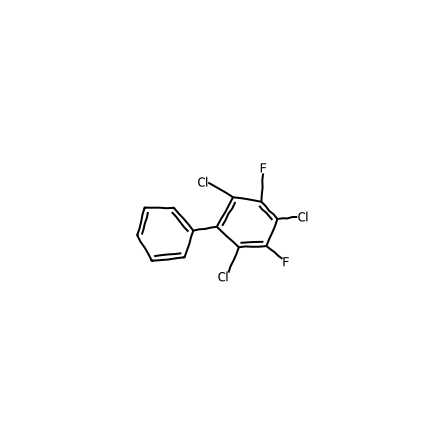 Fc1c(Cl)c(F)c(Cl)c(-c2ccccc2)c1Cl